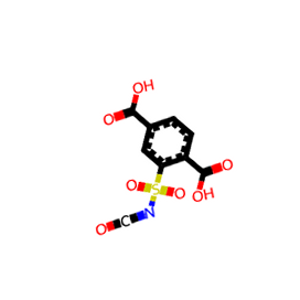 O=C=NS(=O)(=O)c1cc(C(=O)O)ccc1C(=O)O